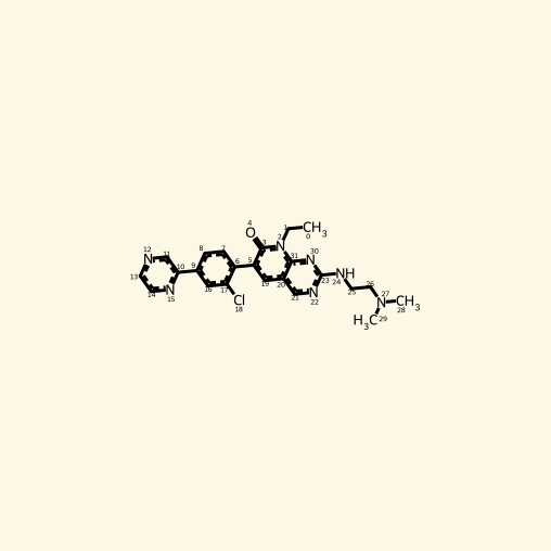 CCn1c(=O)c(-c2ccc(-c3cnccn3)cc2Cl)cc2cnc(NCCN(C)C)nc21